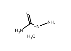 NNC(N)=O.O